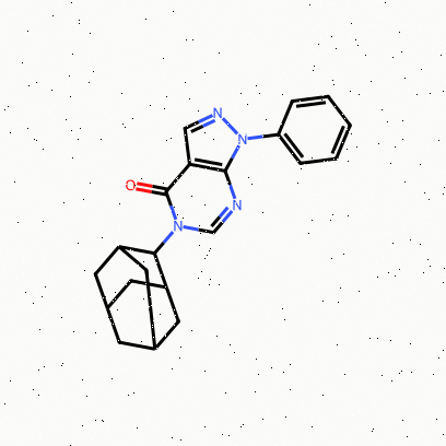 O=c1c2cnn(-c3ccccc3)c2ncn1C1C2CC3CC(C2)CC1C3